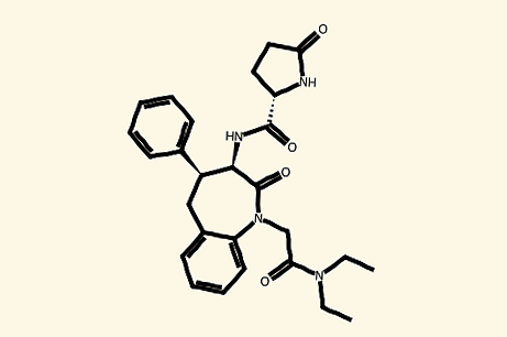 CCN(CC)C(=O)CN1C(=O)[C@H](NC(=O)[C@@H]2CCC(=O)N2)[C@H](c2ccccc2)Cc2ccccc21